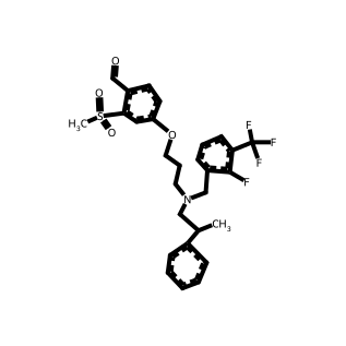 CC(CN(CCCOc1ccc(C=O)c(S(C)(=O)=O)c1)Cc1cccc(C(F)(F)F)c1F)c1ccccc1